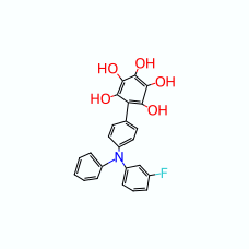 Oc1c(O)c(O)c(-c2ccc(N(c3ccccc3)c3cccc(F)c3)cc2)c(O)c1O